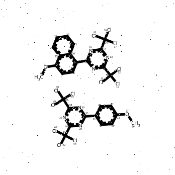 COc1ccc(-c2nc(C(Cl)(Cl)Cl)nc(C(Cl)(Cl)Cl)n2)c2ccccc12.COc1ccc(-c2nc(C(Cl)(Cl)Cl)nc(C(Cl)(Cl)Cl)n2)cc1